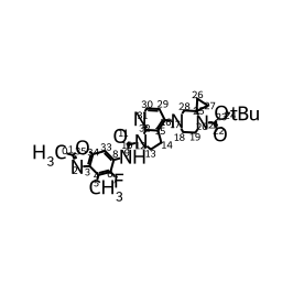 Cc1nc2c(C)c(F)c(NC(=O)N3CCc4c(N5CCN(C(=O)OC(C)(C)C)C6(CC6)C5)ccnc43)cc2o1